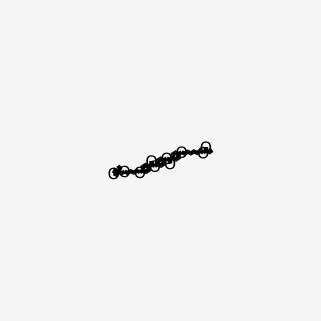 C=CC(=O)OCCCCCCOc1ccc(C(=O)Oc2ccc(OC(=O)c3ccc(OCCCCOCC4(CC)COC4)cc3)cc2)cc1